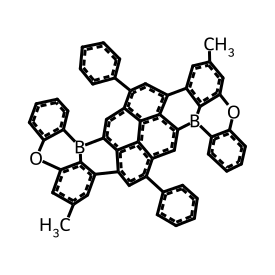 Cc1cc2c3c(c1)-c1cc(-c4ccccc4)c4cc5c6c(cc(-c7ccccc7)c7cc(c1c4c76)B3c1ccccc1O2)-c1cc(C)cc2c1B5c1ccccc1O2